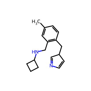 Cc1ccc(CC2C=CN=C2)c(CNC2CCC2)c1